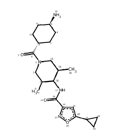 CC1CN(C(=O)[C@H]2CC[C@H](N)CC2)CC(C)C1NC(=O)c1cc(C2CC2)on1